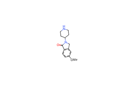 COc1ccc2c(c1)CN(C1CCNCC1)C2=O